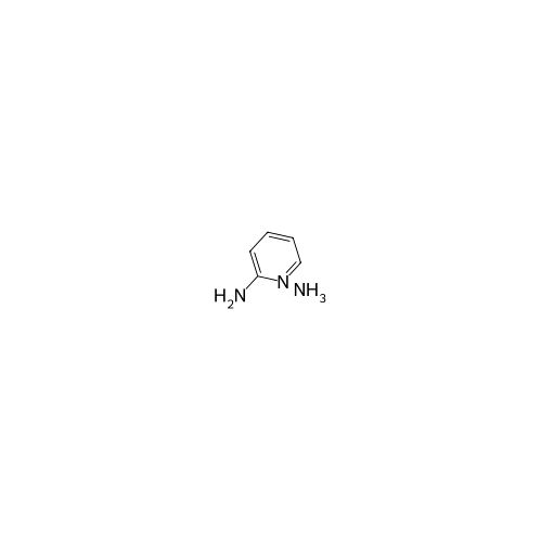 N.Nc1ccccn1